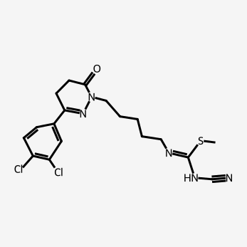 CSC(=NCCCCCN1N=C(c2ccc(Cl)c(Cl)c2)CCC1=O)NC#N